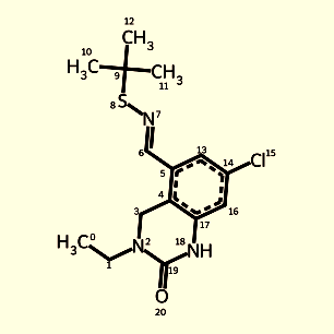 CCN1Cc2c(C=NSC(C)(C)C)cc(Cl)cc2NC1=O